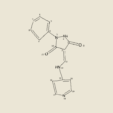 O=C1NN(c2ccccc2)C(=O)C1=CNc1ccncc1